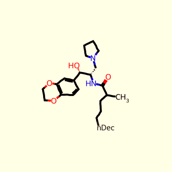 CCCCCCCCCCCCCC(C)C(=O)N[C@@H](CN1CCCC1)[C@@H](O)c1ccc2c(c1)OCCO2